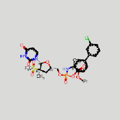 CC(C)OC(=O)[C@H](C)NP(=O)(OC[C@@H]1C[C@@](C)(S(=O)(=O)C(F)(F)F)[C@H](n2ccc(=O)[nH]c2=O)O1)Oc1ccc(-c2cccc(Cl)c2)cc1